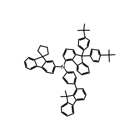 CC(C)(C)c1ccc(C2(c3ccc(C(C)(C)C)cc3)c3ccccc3-c3c(N(c4ccc(-c5cccc6c5C(C)(C)c5ccccc5-6)cc4)c4ccc5c(c4)C4(CCCC4)c4ccccc4-5)cccc32)cc1